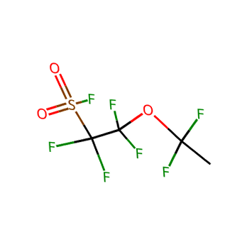 CC(F)(F)OC(F)(F)C(F)(F)S(=O)(=O)F